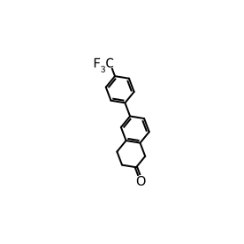 O=C1CCc2cc(-c3ccc(C(F)(F)F)cc3)ccc2C1